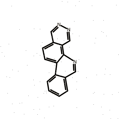 c1ccc2c(c1)cnc1c3cnncc3ccc21